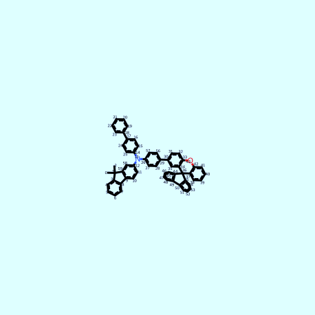 CC1(C)c2ccccc2-c2ccc(N(c3ccc(-c4ccccc4)cc3)c3ccc(-c4ccc5c(c4)C4(c6ccccc6O5)c5ccccc5-c5ccccc54)cc3)cc21